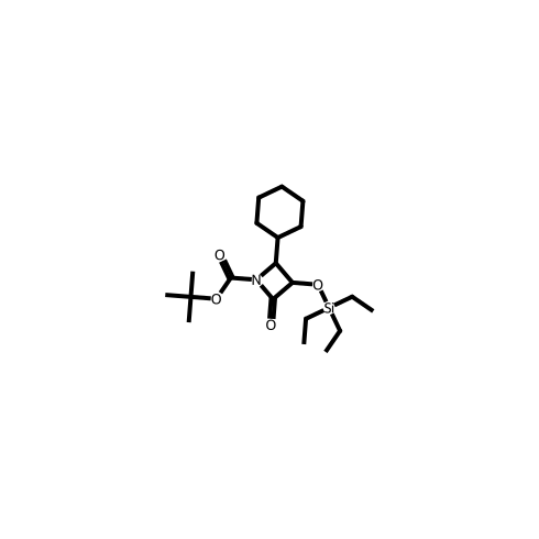 CC[Si](CC)(CC)OC1C(=O)N(C(=O)OC(C)(C)C)C1C1CCCCC1